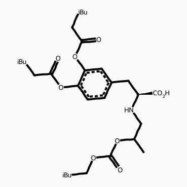 CCC(C)COC(=O)OC(C)CN[C@@H](Cc1ccc(OC(=O)CC(C)CC)c(OC(=O)CC(C)CC)c1)C(=O)O